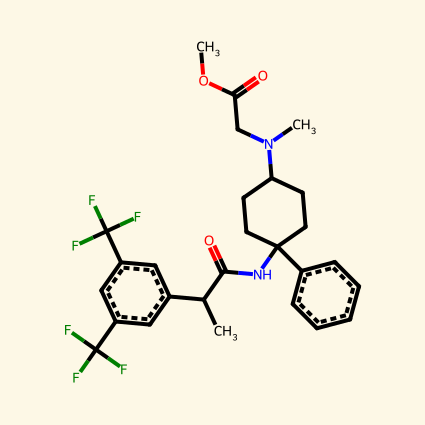 COC(=O)CN(C)C1CCC(NC(=O)C(C)c2cc(C(F)(F)F)cc(C(F)(F)F)c2)(c2ccccc2)CC1